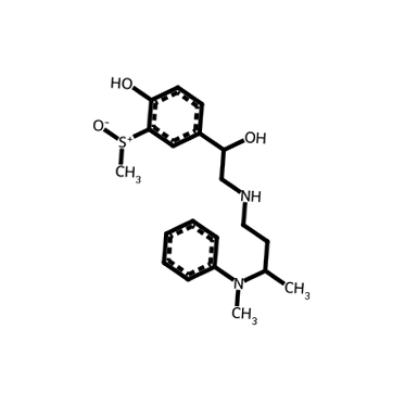 CC(CCNCC(O)c1ccc(O)c([S+](C)[O-])c1)N(C)c1ccccc1